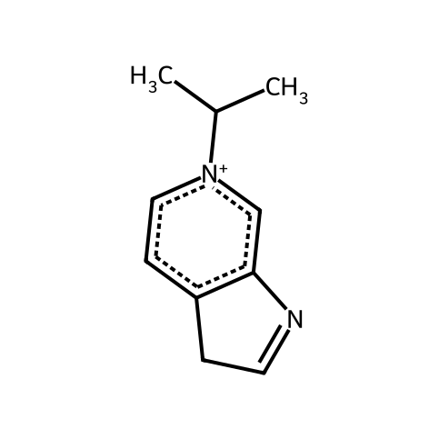 CC(C)[n+]1ccc2c(c1)N=CC2